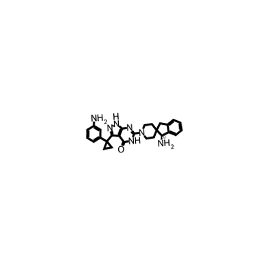 Nc1cccc(C2(c3n[nH]c4nc(N5CCC6(CC5)Cc5ccccc5[C@H]6N)[nH]c(=O)c34)CC2)c1